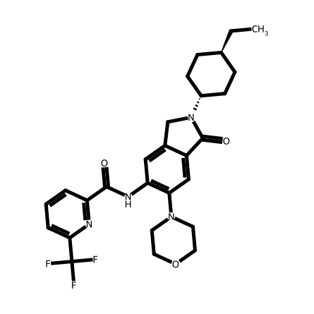 CC[C@H]1CC[C@H](N2Cc3cc(NC(=O)c4cccc(C(F)(F)F)n4)c(N4CCOCC4)cc3C2=O)CC1